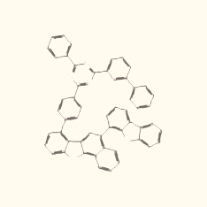 c1ccc(-c2cccc(-c3nc(-c4ccccc4)nc(-c4ccc(-c5cccc6oc7c8ccccc8c(-c8cccc9c8oc8ccccc89)cc7c56)cc4)n3)c2)cc1